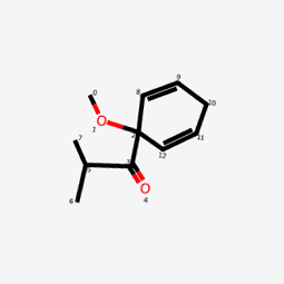 COC1(C(=O)C(C)C)C=CCC=C1